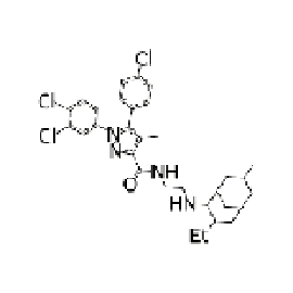 CCC1CC2CC(C)CC(C2)C1NCCNC(=O)c1nn(-c2ccc(Cl)c(Cl)c2)c(-c2ccc(Cl)cc2)c1C